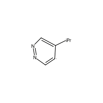 CC(C)c1[c]cnnc1